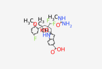 CNC(N)=O.COc1ccc(F)cc1C(C)(C)CC(O)(Cc1cc2cc(C(=O)O)ccc2[nH]1)C(F)F